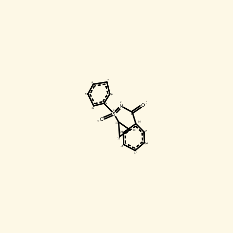 O=C(N=S(=O)(c1ccccc1)C1CC1)c1ccccc1